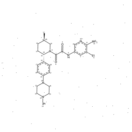 CCc1cc(NC(=O)C(=O)N2C[C@H](C)CC[C@H]2c2ccc(N3CCN(C(C)C)CC3)cc2)cnc1N